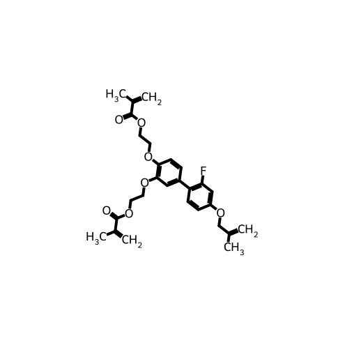 C=C(C)COc1ccc(-c2ccc(OCCOC(=O)C(=C)C)c(OCCOC(=O)C(=C)C)c2)c(F)c1